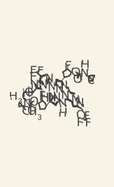 COCc1cn2c(Nc3cc([C@H]4C[C@@H](F)[C@@H](OC(=O)NC56CC(C5)C6)C4)n(Cc4cn5nc(COC(F)(F)F)cc5c(Nc5cc([C@H]6CC[C@@H](OC(=O)NC7(C)CC7)[C@@H]6F)[nH]n5)n4)n3)ncc(C(F)(F)F)c2n1